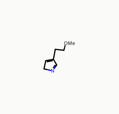 COCCC1=CCN=C1